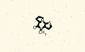 Cn1c(=O)c2cccn2c2sccc21